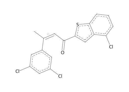 C/C(=C/C(=O)c1cc2c(Cl)cccc2s1)c1cc(Cl)cc(Cl)c1